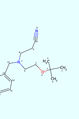 CC(C)(C)OCCN(CCC#N)Cc1ccccc1